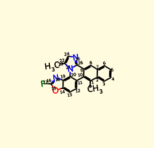 Cc1c2ccccc2cc2c1c1ccc3oc(F)nc3c1n1c(C)cnc21